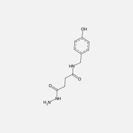 NNC(=O)CCC(=O)NCc1ccc(O)cc1